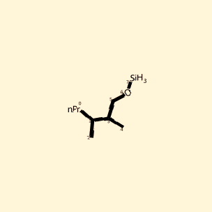 CCCC(C)C(C)CO[SiH3]